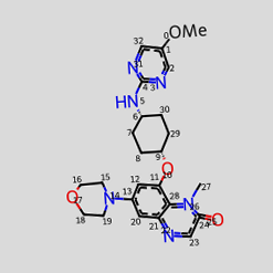 COc1cnc(N[C@H]2CC[C@@H](Oc3cc(N4CCOCC4)cc4ncc(=O)n(C)c34)CC2)nc1